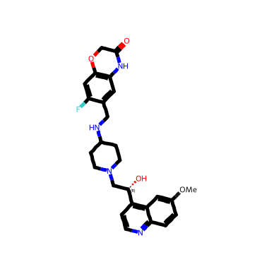 COc1ccc2nccc([C@@H](O)CN3CCC(NCc4cc5c(cc4F)OCC(=O)N5)CC3)c2c1